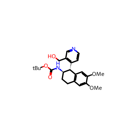 COc1cc2c(cc1OC)[C@@H](c1ccncc1CO)[C@H](NC(=O)OC(C)(C)C)CC2